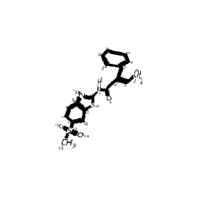 CCC(C(=O)Nc1nc2ccc(S(C)(=O)=O)cc2s1)c1ccccc1